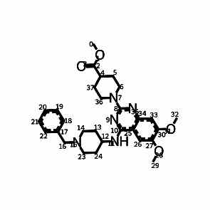 COC(=O)C1CCN(c2nc(NC3CCN(Cc4ccccc4)CC3)c3cc(OC)c(OC)cc3n2)CC1